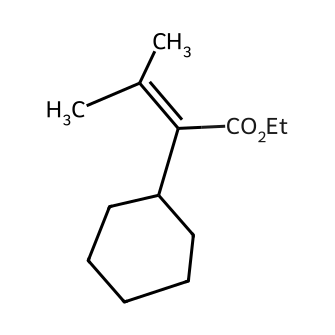 CCOC(=O)C(=C(C)C)C1CCCCC1